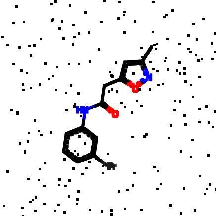 Cc1cc(CC(=O)Nc2cccc(C(C)C)c2)on1